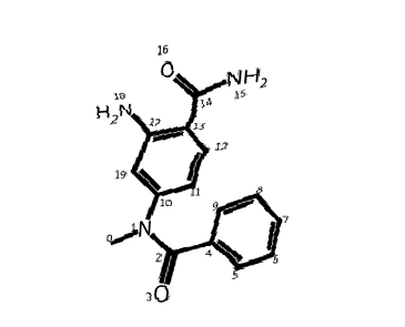 CN(C(=O)c1ccccc1)c1ccc(C(N)=O)c(N)c1